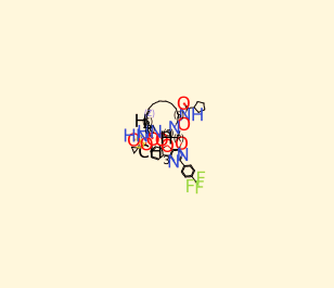 CC1(S(=O)(=O)NC(=O)[C@@]23C[C@H]2/C=C\CCCCC[C@H](NC(=O)C2CCCC2)C(=O)N2C[C@H](Oc4nc(-c5ccc(C(F)(F)F)cc5)nc5c4OC4C=CC=CC54)C[C@H]2C(=O)N3)CC1